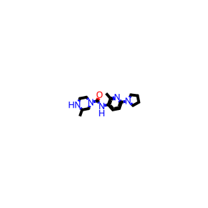 Cc1nc(N2CCCC2)ccc1NC(=O)N1CCNC(C)C1